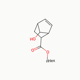 CCCCCCOC(=O)C1CC2C=CC1C2O